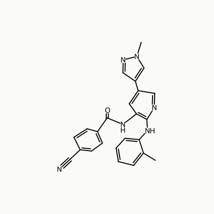 Cc1ccccc1Nc1ncc(-c2cnn(C)c2)cc1NC(=O)c1ccc(C#N)cc1